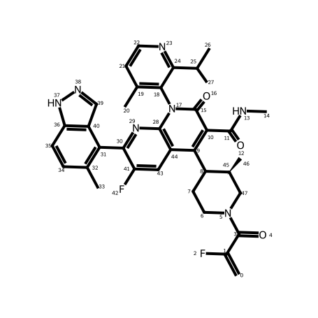 C=C(F)C(=O)N1CCC(c2c(C(=O)NC)c(=O)n(-c3c(C)ccnc3C(C)C)c3nc(-c4c(C)ccc5[nH]ncc45)c(F)cc23)[C@@H](C)C1